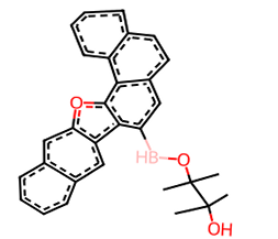 CC(C)(O)C(C)(C)OBc1cc2ccc3ccccc3c2c2oc3cc4ccccc4cc3c12